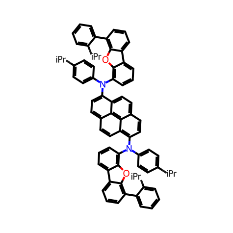 CC(C)c1ccc(N(c2ccc3ccc4c(N(c5ccc(C(C)C)cc5)c5cccc6c5oc5c(-c7ccccc7C(C)C)cccc56)ccc5ccc2c3c54)c2cccc3c2oc2c(-c4ccccc4C(C)C)cccc23)cc1